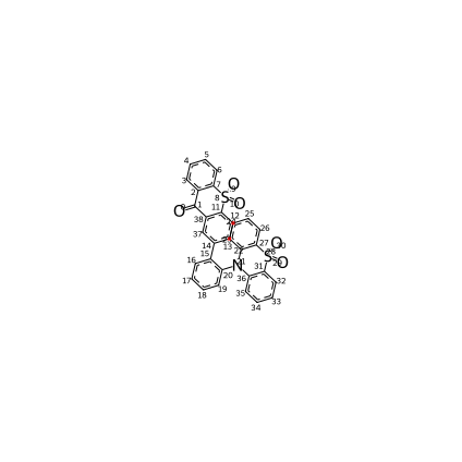 O=C1c2ccccc2S(=O)(=O)c2ccc(-c3ccccc3N3c4ccccc4S(=O)(=O)c4ccccc43)cc21